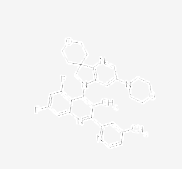 Cc1ccnc(-c2nc3cc(F)cc(F)c3c(N3CC4(CCOCC4)c4ncc(N5CCOCC5)cc43)c2C)c1